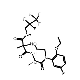 CCOc1ccc(F)cc1N(CCO)C(=O)[C@H](C)NC(=O)C(C)(C)C(=O)NCC(F)(F)C(F)(F)F